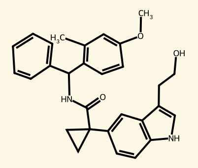 COc1ccc(C(NC(=O)C2(c3ccc4[nH]cc(CCO)c4c3)CC2)c2ccccc2)c(C)c1